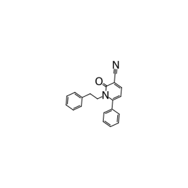 N#Cc1ccc(-c2ccccc2)n(CCc2ccccc2)c1=O